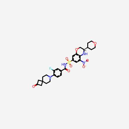 O=C1CC2(CCN(c3ccc(C(=O)NS(=O)(=O)c4cc5c(c([N+](=O)[O-])c4)N[C@H](C4CCOCC4)CO5)cc3F)CC2)C1